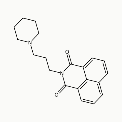 O=C1c2cccc3cccc(c23)C(=O)N1CCCN1CCCCC1